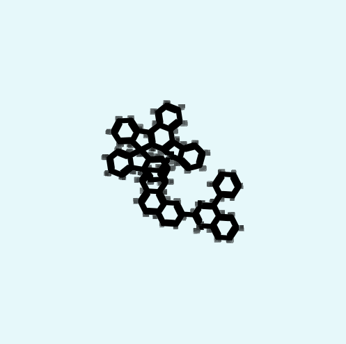 c1ccc(-c2nc(-c3ccc4ccc5ccc(-n6c7ccccc7c7c8ccccc8c8c(c76)C6(c7ccccc7-c7ccccc76)c6ccccc6-8)cc5c4c3)nc3ccccc23)cc1